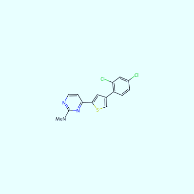 CNc1nccc(-c2cc(-c3ccc(Cl)cc3Cl)[c]s2)n1